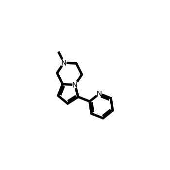 CN1CCn2c(ccc2-c2ccccn2)C1